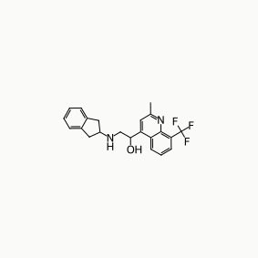 Cc1cc(C(O)CNC2Cc3ccccc3C2)c2cccc(C(F)(F)F)c2n1